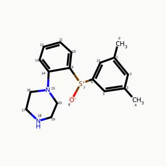 Cc1cc(C)cc([S+]([O-])c2ccccc2N2CCNCC2)c1